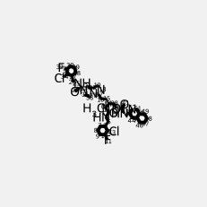 CN(C(=O)NCc1cccc(F)c1Cl)[C@@H](CCC1N=CC2=CN(C(=O)NCc3cccc(F)c3Cl)C=CN21)COC(=O)Nc1cc2ccccc2cn1